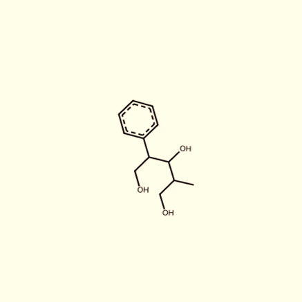 CC(CO)C(O)C(CO)c1ccccc1